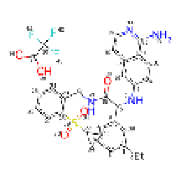 CCc1cccc(C(Nc2ccc3c(N)nccc3c2)C(=O)NCc2ccccc2S(=O)(=O)C2CC2)c1.O=C(O)C(F)(F)F